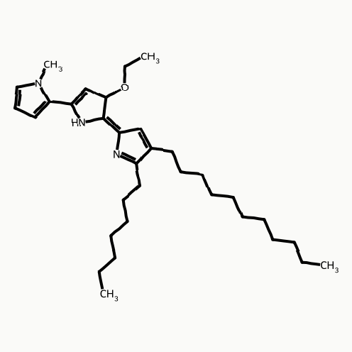 CCCCCCCCCCCC1=CC(=C2NC(c3cccn3C)=CC2OCC)N=C1CCCCCCC